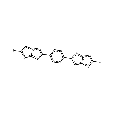 Cc1cc2sc(-c3ccc(-c4cc5sc(I)cc5s4)cc3)cc2s1